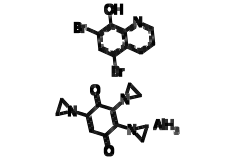 O=C1C=C(N2CC2)C(=O)C(N2CC2)=C1N1CC1.Oc1c(Br)cc(Br)c2cccnc12.[AlH3]